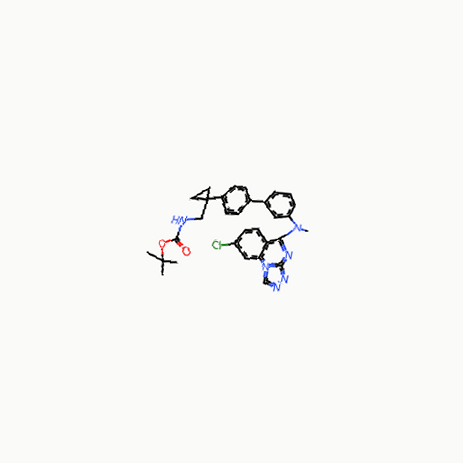 CN(c1cccc(-c2ccc(C3(CNC(=O)OC(C)(C)C)CC3)cc2)c1)c1nc2nncn2c2cc(Cl)ccc12